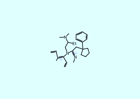 C=C/C(C)=C(/C=C)N(CC(CC)N(C)C)/C(CC1(c2ccccc2)CCCC1)=N\C